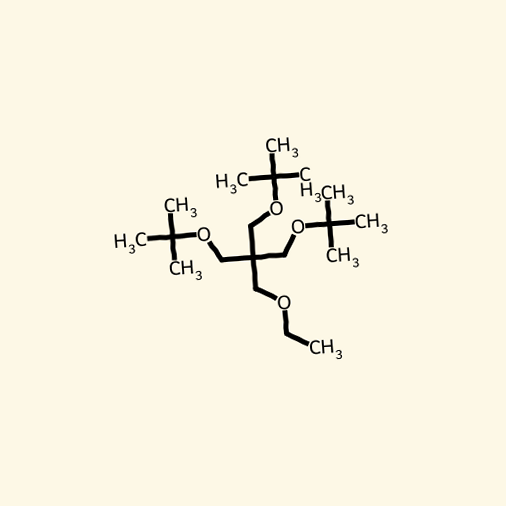 CCOCC(COC(C)(C)C)(COC(C)(C)C)COC(C)(C)C